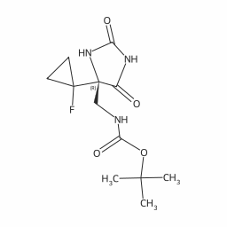 CC(C)(C)OC(=O)NC[C@@]1(C2(F)CC2)NC(=O)NC1=O